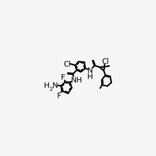 C=C(Nc1ccc(F)c(N)c1F)c1cc(NC(=C)C2C(C3=CCCC(C)=C3)C2(C)Cl)ccc1Cl